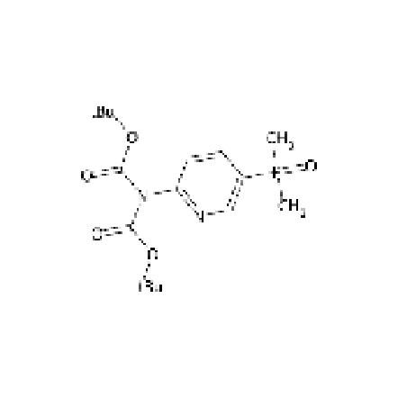 CC(C)(C)OC(=O)N(C(=O)OC(C)(C)C)c1ccc(P(C)(C)=O)cn1